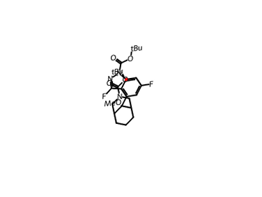 COC1(c2cc(F)cc3c2c(F)nn3C(=O)OC(C)(C)C)C2CCCC1CN(C(=O)OC(C)(C)C)C2